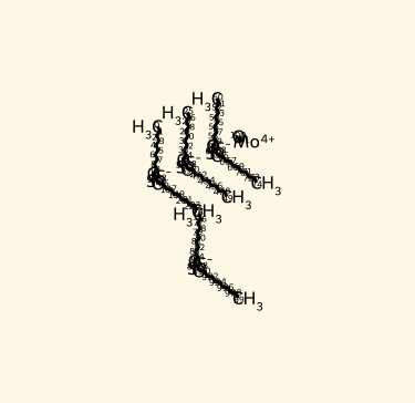 CCCCCCCCCCOP(=S)([S-])OCCCCCCCCCC.CCCCCCCCCCOP(=S)([S-])OCCCCCCCCCC.CCCCCCCCCCOP(=S)([S-])OCCCCCCCCCC.CCCCCCCCCCOP(=S)([S-])OCCCCCCCCCC.[O]=[Mo+4]